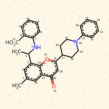 Cc1cc(C(C)Nc2ccccc2C(=O)O)c2oc(C3CCN(c4ccccc4)CC3)cc(=O)c2c1